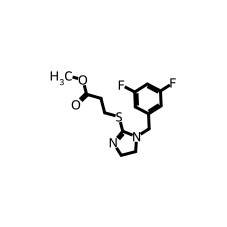 COC(=O)CCSC1=NCCN1Cc1cc(F)cc(F)c1